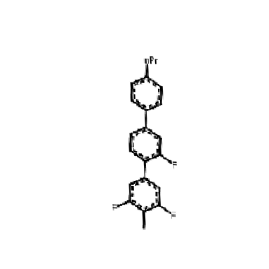 CCCc1ccc(-c2ccc(-c3cc(F)c(C)c(F)c3)c(F)c2)cc1